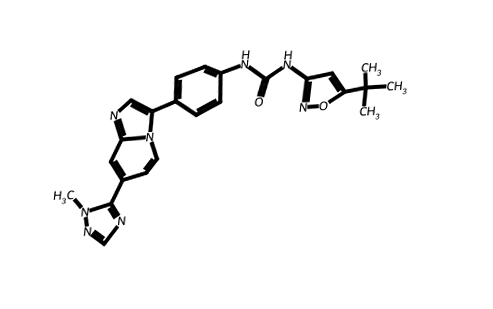 Cn1ncnc1-c1ccn2c(-c3ccc(NC(=O)Nc4cc(C(C)(C)C)on4)cc3)cnc2c1